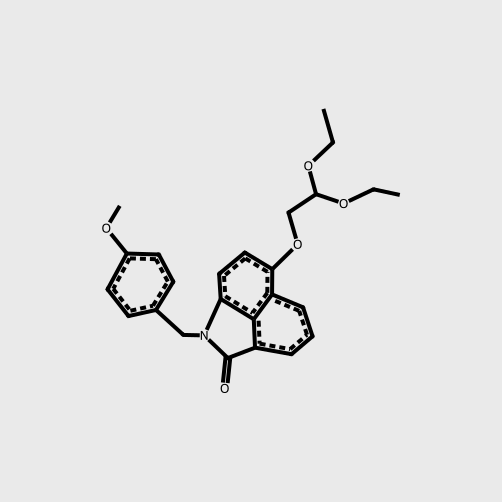 CCOC(COc1ccc2c3c(cccc13)C(=O)N2Cc1ccc(OC)cc1)OCC